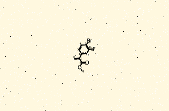 C=C(C(=O)OC)c1ccc(Br)c(F)c1